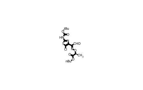 CCCCOC(=O)[C@H](C)O/N=C(\C=O)c1nc(NC(=O)OC(C)(C)C)sc1Cl